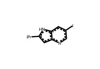 CC(C)c1cc2ncc(I)cc2[nH]1